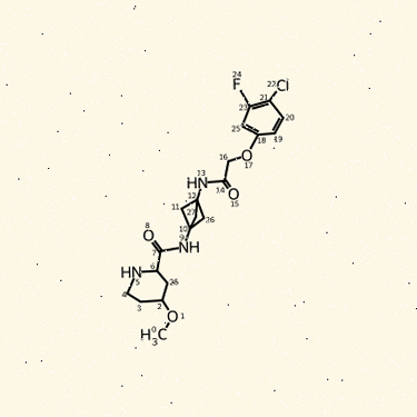 COC1CCNC(C(=O)NC23CC(NC(=O)COc4ccc(Cl)c(F)c4)(C2)C3)C1